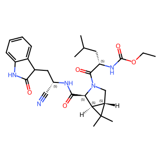 CCOC(=O)N[C@@H](CC(C)C)C(=O)N1C[C@H]2[C@H]([C@H]1C(=O)N[C@H](C#N)CC1C(=O)Nc3ccccc31)C2(C)C